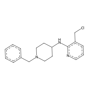 ClCc1cccnc1NC1CCN(Cc2ccccc2)CC1